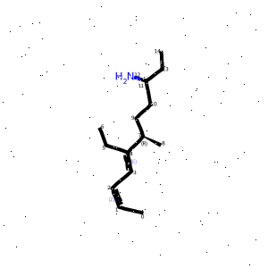 C/C=C\C=C(/CC)[C@H](C)CCC(N)CC